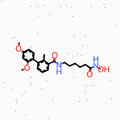 COc1ccc(-c2cccc(C(=O)NCCCCCC(=O)NO)c2C)c(OC)c1